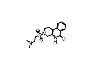 CN(C)CCS(=O)(=O)N1CCc2c([nH]c(=O)c3ccccc23)C1